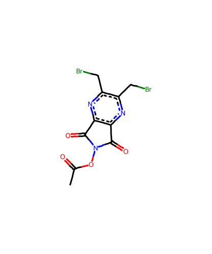 CC(=O)ON1C(=O)c2nc(CBr)c(CBr)nc2C1=O